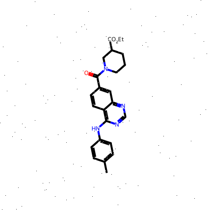 CCOC(=O)C1CCCN(C(=O)c2ccc3c(Nc4ccc(C)cc4)ncnc3c2)C1